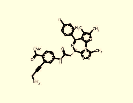 COC(=O)c1ccc(NC(=O)C[C@@H]2N=C(c3ccc(Cl)cc3)c3c(sc(C)c3C)-n3c(C)nnc32)cc1C#CCN